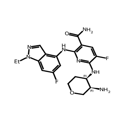 CCn1ncc2c(Nc3nc(N[C@@H]4CCOC[C@@H]4N)c(F)cc3C(N)=O)cc(F)cc21